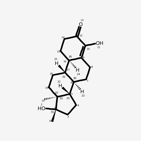 C[C@]1(O)CC[C@H]2[C@@H]3CCC4=C(O)C(=O)CC[C@@H]4[C@H]3CC[C@@]21C